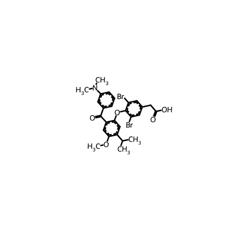 COc1cc(C(=O)c2cccc(N(C)C)c2)c(Oc2c(Br)cc(CC(=O)O)cc2Br)cc1C(C)C